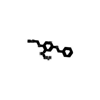 COCOc1cnc(OCc2ccccc2)cc1NC(=O)O